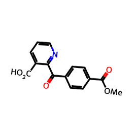 COC(=O)c1ccc(C(=O)c2ncccc2C(=O)O)cc1